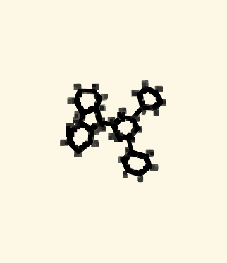 c1ccc(-c2cc(-c3ccccc3)nc(-n3c4ccccc4c4ncccc43)n2)cc1